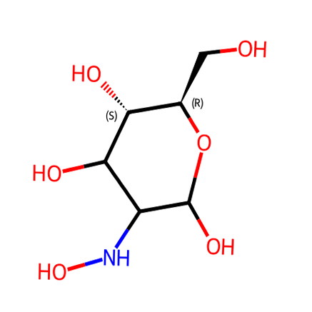 OC[C@H]1OC(O)C(NO)C(O)[C@@H]1O